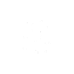 CC(=O)OCC1O[C@@H](OC(C)=O)C(OC(C)=O)C(OC(C)=O)[C@@H]1O[C@@H]1OC(COC(C)=O)[C@H](OC(C)=O)C(OC(C)=O)C1OC(C)=O